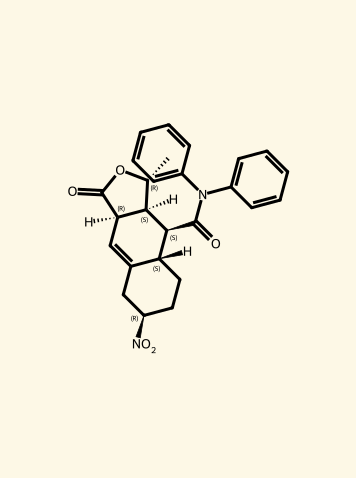 C[C@H]1OC(=O)[C@@H]2C=C3C[C@H]([N+](=O)[O-])CC[C@H]3[C@H](C(=O)N(c3ccccc3)c3ccccc3)[C@H]12